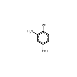 CC(=O)c1ccc(C(=O)O)cc1N